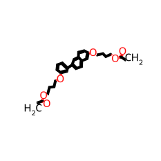 C=CC(=O)OCCCCOc1cccc(-c2ccc3cc(OCCCCOC(=O)C=C)ccc3c2)c1